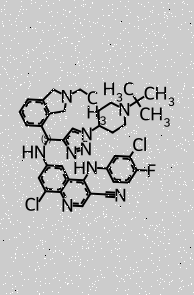 CCN1Cc2cccc([C@H](Nc3cc(Cl)c4ncc(C#N)c(Nc5ccc(F)c(Cl)c5)c4c3)c3cn(C4CCN(C(C)(C)C)CC4)nn3)c2C1